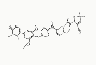 COc1cc(-c2cn(C)c(=O)c(C)c2C)cc(OC)c1CN1CCC(N(C)c2ccc3c(c2)C(C)N(C(=O)/C(C#N)=C\C(C)(C)C)CC3)CC1